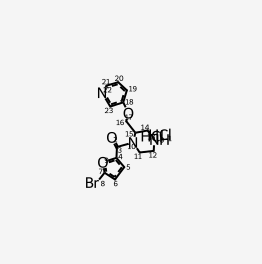 Cl.Cl.O=C(c1ccc(Br)o1)N1CCNCC1COc1cccnc1